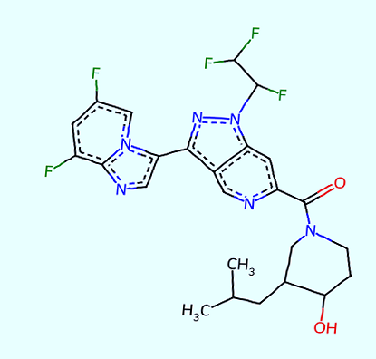 CC(C)CC1CN(C(=O)c2cc3c(cn2)c(-c2cnc4c(F)cc(F)cn24)nn3C(F)C(F)F)CCC1O